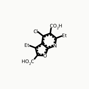 CCc1nc2oc(C(=O)O)c(CC)c2c(Cl)c1C(=O)O